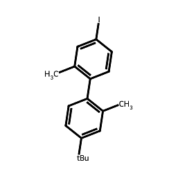 Cc1cc(I)ccc1-c1ccc(C(C)(C)C)cc1C